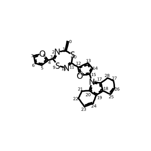 C=C1N=C(c2ccco2)SN=C(c2ccc(-n3c4c(c5c3CCC=C5)C=CCC4)o2)S1